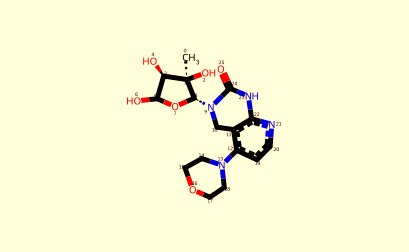 C[C@@]1(O)[C@H](O)C(O)O[C@H]1N1Cc2c(N3CCOCC3)ccnc2NC1=O